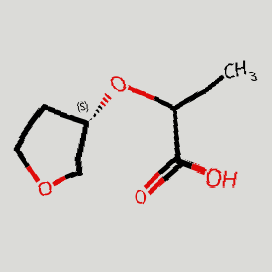 CC(O[C@H]1CCOC1)C(=O)O